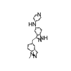 Cn1ncc2cc(Cc3n[nH]c4ccc(Nc5ccncc5)cc34)ccc21